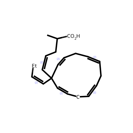 CC/C=C\C1(/C=C\CC(C)C(=O)O)/C=C\C/C=C\C/C=C\C/C=C\1